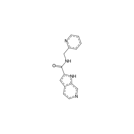 O=C(NCc1ccccn1)c1cc2ccncc2[nH]1